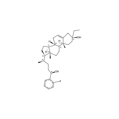 CC[C@]1(O)CC[C@@]2(C)C(=CC[C@H]3[C@@H]4CC[C@H]([C@H](C)CC[C@@H](O)c5ccccc5F)[C@@]4(C)CC[C@@H]32)C1